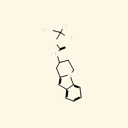 CC(C)(C)OC(=O)NC1CCn2c(cc3ccccc32)C1